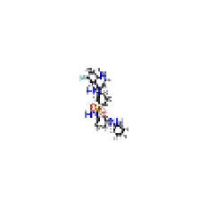 O=S(=O)(Nc1cccc(Nc2ccccc2)c1)c1cccc(Nc2ccnc3ccc(F)cc23)c1